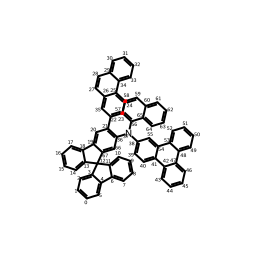 c1ccc2c(c1)-c1ccccc1C21c2ccccc2-c2cc(-c3ccc4c(ccc5ccccc54)c3)c(N(c3ccc4c5ccccc5c5ccccc5c4c3)c3cccc4ccccc34)cc21